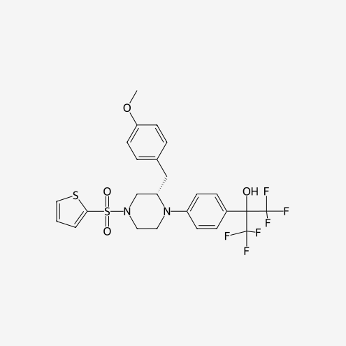 COc1ccc(C[C@H]2CN(S(=O)(=O)c3cccs3)CCN2c2ccc(C(O)(C(F)(F)F)C(F)(F)F)cc2)cc1